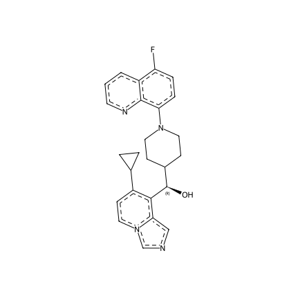 O[C@@H](c1c(C2CC2)ccn2cncc12)C1CCN(c2ccc(F)c3cccnc23)CC1